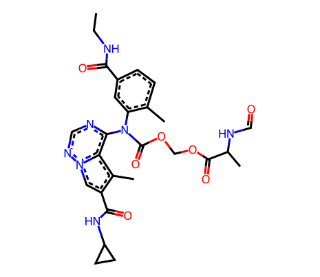 CCNC(=O)c1ccc(C)c(N(C(=O)OCOC(=O)C(C)NC=O)c2ncnn3cc(C(=O)NC4CC4)c(C)c23)c1